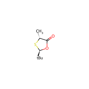 C[C@H]1S[C@H](C(C)(C)C)OC1=O